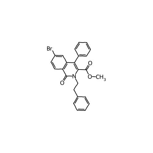 COC(=O)c1c(-c2ccccc2)c2cc(Br)ccc2c(=O)n1CCc1ccccc1